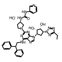 CCc1nnn([C@H]2C[C@@H](n3cnc4c(NCC(c5ccccc5)c5ccccc5)nc(N5CC[C@@H](NC(=O)Nc6cccnc6)C5)nc43)[C@H](O)[C@@H]2O)n1.Cl